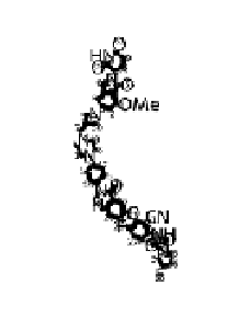 COc1cc(N2CC(CN3CCN(c4ccc(-n5cnc6ccc(Oc7c(F)ccc(NS(=O)(=O)N8CC[C@@H](F)C8)c7C#N)cc6c5=O)cc4)CC3)C2)cc2c1C(=O)N([C@@H]1CCC(=O)NC1=O)C2